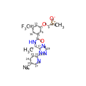 C[C@H](NC(=O)c1cc(OC[S+](C)[O-])cc(C(F)(F)F)c1)c1ncnn1-c1ccc(C#N)cn1